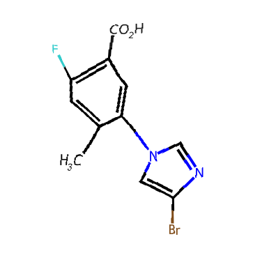 Cc1cc(F)c(C(=O)O)cc1-n1cnc(Br)c1